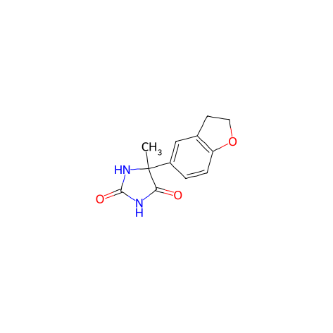 CC1(c2ccc3c(c2)CCO3)NC(=O)NC1=O